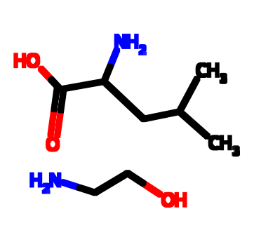 CC(C)CC(N)C(=O)O.NCCO